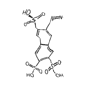 [N]=Nc1cc2cc(S(=O)(=O)O)c(S(=O)(=O)O)cc2cc1S(=O)(=O)O